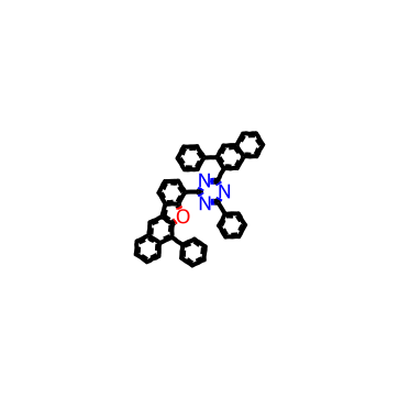 c1ccc(-c2nc(-c3cc4ccccc4cc3-c3ccccc3)nc(-c3cccc4c3oc3c(-c5ccccc5)c5ccccc5cc34)n2)cc1